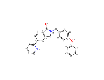 O=C1c2ccc(-c3ccccn3)cc2CN1Cc1ccc(Oc2ccccc2)cc1